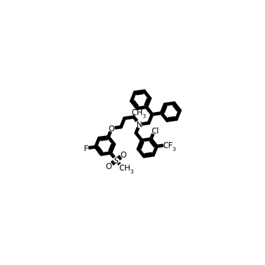 C[C@@H](CCOc1cc(F)[c]c(S(C)(=O)=O)c1)N(Cc1cccc(C(F)(F)F)c1Cl)CC(c1ccccc1)c1ccccc1